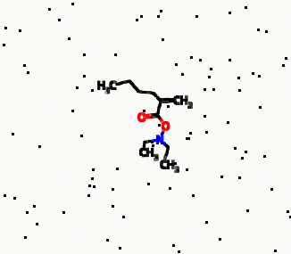 C=C(CCCC)C(=O)ON(CC)CC